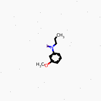 CCCN(I)c1cccc(OC)c1